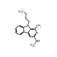 CCCCn1c2ccccc2c2cc(NC)nc(C)c21